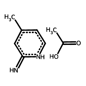 CC(=O)O.Cc1cc[nH]c(=N)c1